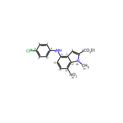 CCOC(=O)c1cc2c(Nc3ccc(Cl)cc3)ccc([N+](=O)[O-])c2n1C